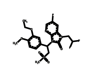 CCOc1cc(C(CS(C)(=O)=O)n2c(=O)n(CC(F)F)c3cc(F)cnc32)ccc1OC